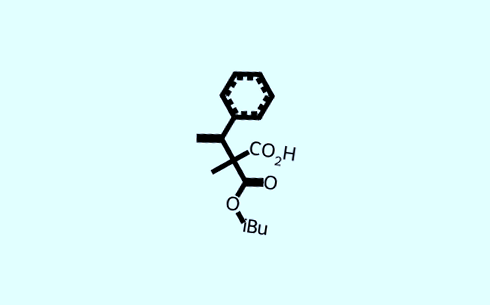 C=C(c1ccccc1)C(C)(C(=O)O)C(=O)OC(C)CC